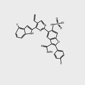 C=Cc1cnc(-c2cc3c(C(=O)NC)c(-c4ccc(F)cc4)oc3cc2NS(=O)(=O)CC)nc1-c1cc2c(F)cccc2[nH]1